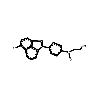 CCN(CCO)c1ccc(C2=Nc3ccc(Br)c4cccc2c34)cc1